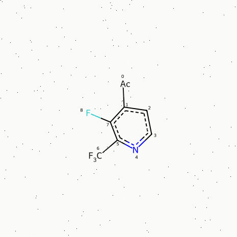 CC(=O)c1ccnc(C(F)(F)F)c1F